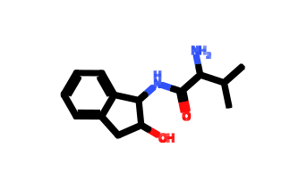 CC(C)C(N)C(=O)NC1c2ccccc2CC1O